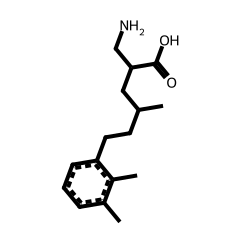 Cc1cccc(CCC(C)CC(CN)C(=O)O)c1C